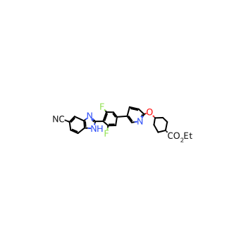 CCOC(=O)[C@H]1CC[C@@H](Oc2ccc(-c3cc(F)c(-c4nc5cc(C#N)ccc5[nH]4)c(F)c3)cn2)CC1